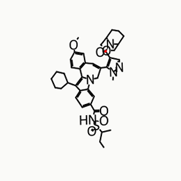 CCC(C)S(=O)(=O)NC(=O)c1ccc2c(C3CCCCC3)c3n(c2c1)CC(c1c(C(=O)N2C4CCCC2COC4)cnn1C)=Cc1cc(OC)ccc1-3